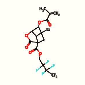 C=C(C)C(=O)OC1C2OC(=O)C3(C(=O)OCC(F)(F)C(F)(F)C(F)(F)F)CC1(CC)C23